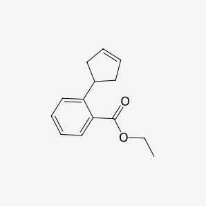 CCOC(=O)c1ccccc1C1CC=CC1